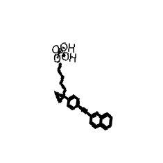 O=P(O)(O)OCCCCCC1(c2ccc(C#Cc3ccc4ccccc4c3)cc2)CC1